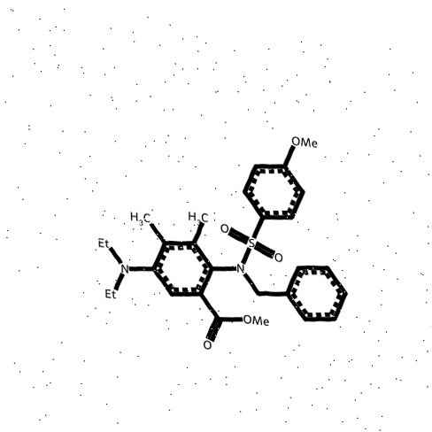 CCN(CC)c1cc(C(=O)OC)c(N(Cc2ccccc2)S(=O)(=O)c2ccc(OC)cc2)c(C)c1C